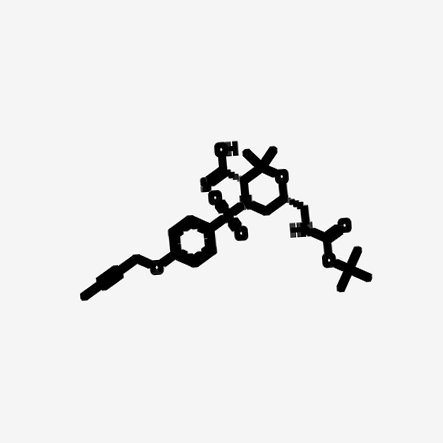 CC#CCOc1ccc(S(=O)(=O)N2C[C@@H](CNC(=O)OC(C)(C)C)OC(C)(C)[C@H]2C(O)=S)cc1